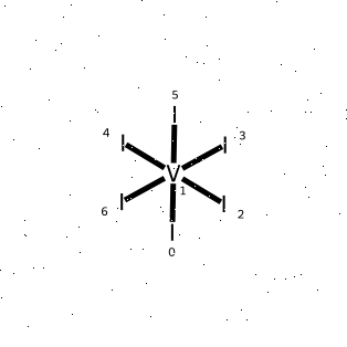 [I][V]([I])([I])([I])([I])[I]